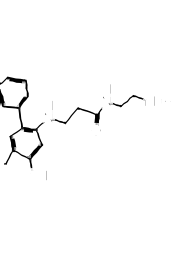 CCCCCCCCCCCCNC(=O)CCNc1cc(S)c(Cl)cc1-c1ccccc1